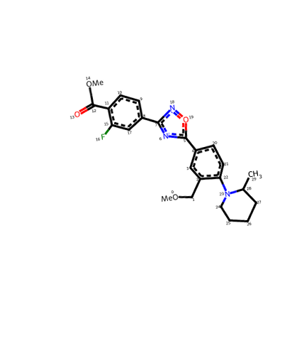 COCc1cc(-c2nc(-c3ccc(C(=O)OC)c(F)c3)no2)ccc1N1CCCCC1C